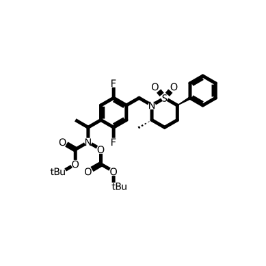 CC(c1cc(F)c(CN2[C@@H](C)CC[C@H](c3ccccc3)S2(=O)=O)cc1F)N(OC(=O)OC(C)(C)C)C(=O)OC(C)(C)C